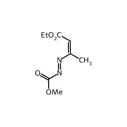 CCOC(=O)C=C(C)N=NC(=O)OC